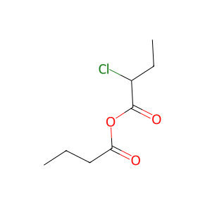 CCCC(=O)OC(=O)C(Cl)CC